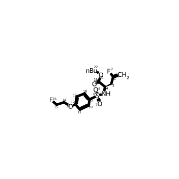 C=C(F)C[C@@H](NS(=O)(=O)c1ccc(OCCF)cc1)C(=O)OCCCC